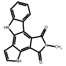 CN1C(=O)c2c(c3c4ccccc4[nH]c3c3cc[nH]c23)C1=O